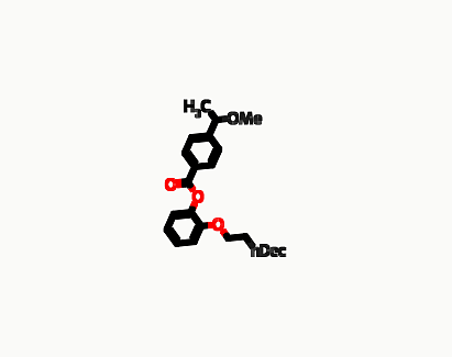 CCCCCCCCCCCCOc1ccccc1OC(=O)c1ccc(C(C)OC)cc1